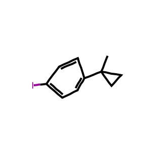 CC1(c2ccc(I)cc2)CC1